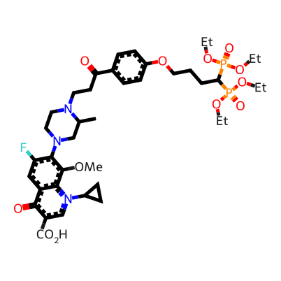 CCOP(=O)(OCC)C(CCCOc1ccc(C(=O)CCN2CCN(c3c(F)cc4c(=O)c(C(=O)O)cn(C5CC5)c4c3OC)CC2C)cc1)P(=O)(OCC)OCC